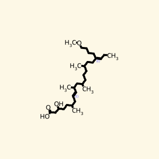 CC/C=C(\CCCCOC)CCC(C)CCCC(C)CC(C)/C=C/CC(C)CCC(O)CC(=O)O